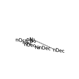 CCCCCCCCCCCCCCCCCCCCCCCCCCCc1ccc(C2=CC(CCCC)=C(c3cccc(CCCCCCCC)c3)[N+]2=[N-])cc1.CCCCCCCCCCC[CH2][Ni][CH2]CCCCCCCCCCC